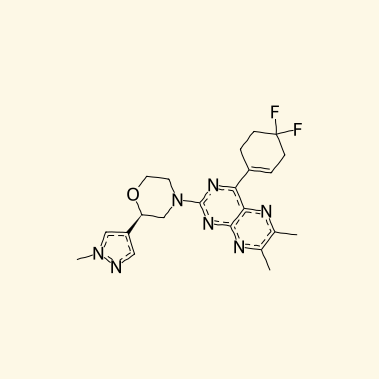 Cc1nc2nc(N3CCO[C@H](c4cnn(C)c4)C3)nc(C3=CCC(F)(F)CC3)c2nc1C